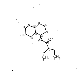 CCC(CC)C(=O)OC1CCCC2CCCCC21